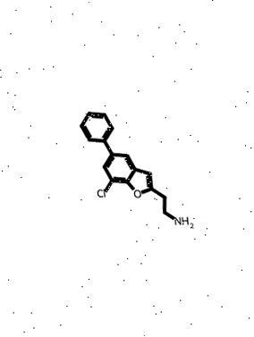 NCCc1cc2cc(-c3cc[c]cc3)cc(Cl)c2o1